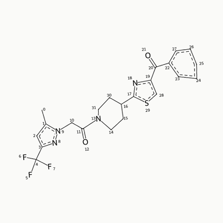 Cc1cc(C(F)(F)F)nn1CC(=O)N1CCC(c2nc(C(=O)c3ccccc3)cs2)CC1